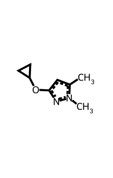 Cc1cc(OC2CC2)nn1C